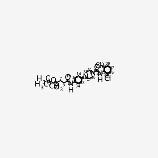 CC(C)(C)OC(=O)CCC(=O)Nc1ccc(N2CCN(C(=O)Nc3c(Cl)cccc3Cl)CC2)cc1